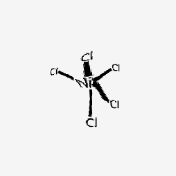 [Cl][Ni]([Cl])([Cl])([Cl])[Cl]